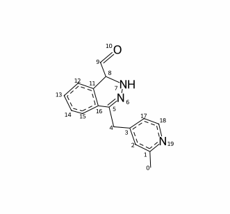 Cc1cc(CC2=NNC(C=O)c3ccccc32)ccn1